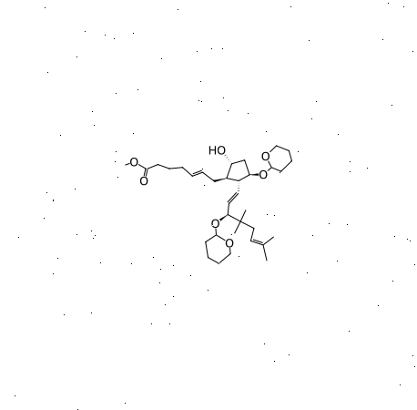 COC(=O)CCCC=CC[C@@H]1[C@@H](C=C[C@H](OC2CCCCO2)C(C)(C)CC=C(C)C)[C@H](OC2CCCCO2)C[C@H]1O